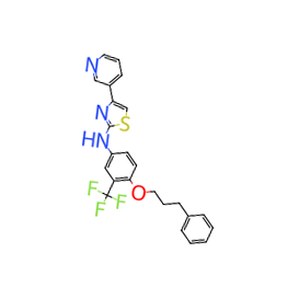 FC(F)(F)c1cc(Nc2nc(-c3cccnc3)cs2)ccc1OCCCc1ccccc1